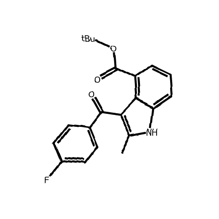 Cc1[nH]c2cccc(C(=O)OC(C)(C)C)c2c1C(=O)c1ccc(F)cc1